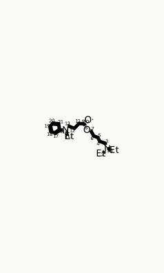 CCN(CC)CCCCCOC([O])CCCN(CC)c1ccccc1